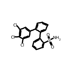 NS(=O)(=O)c1ccccc1-c1ccccc1-c1cc(Cl)c(Cl)c(Cl)c1